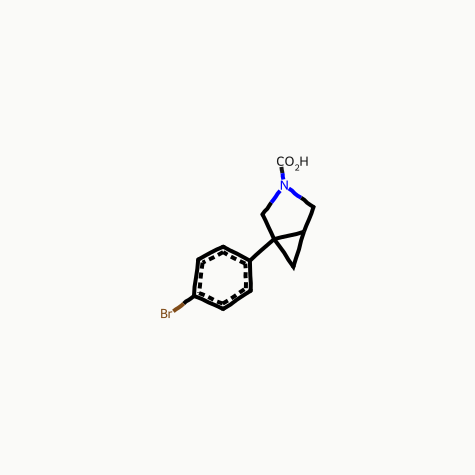 O=C(O)N1CC2CC2(c2ccc(Br)cc2)C1